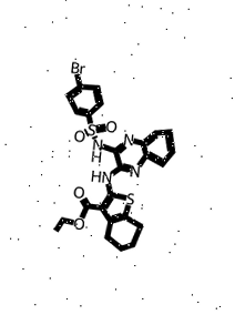 CCOC(=O)c1c(Nc2nc3ccccc3nc2NS(=O)(=O)c2ccc(Br)cc2)sc2c1CCCC2